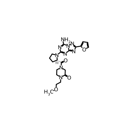 COCCN1CCN(C(=O)[C@@H]2CCCN2c2nc(N)n3nc(-c4ccco4)nc3n2)CC1=O